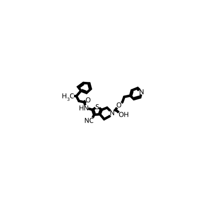 CC(CC(=O)Nc1sc2c(c1C#N)CCN(C(O)OCCc1ccncc1)C2)c1ccccc1